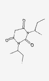 CCC(C)N1C(=O)CC(=O)N(C(C)CC)C1=O